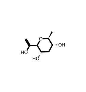 C=C(O)[C@H]1O[C@@H](C)[C@H](O)C[C@@H]1O